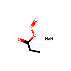 CCC(=O)OP=O.[NaH]